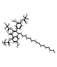 CCCCCCCCCCCCCCCCn1c(-c2ccc(OC(=O)C(C)(C)C)c(OC)c2)c(OC(=O)C(C)(C)C)c(=O)c2c(OC(=O)C(C)(C)C)cc(OC)cc21